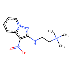 C[N+](C)(C)CCNc1nn2ccccc2c1[N+](=O)[O-]